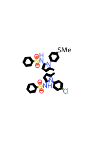 CSc1ccc(-n2c(C)ccc2NS(=O)(=O)c2ccccc2)cc1.Cc1ccc(NS(=O)(=O)c2ccccc2)n1-c1ccc(Cl)cc1